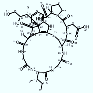 CC[C@H](C)[C@@H]1NC(=O)CNC(=O)[C@H]2Cc3c([nH]c4ccccc34)SC[C@H](NC(=O)CNC1=O)C(=O)NC(CC(=O)O)C(=O)N1CCC[C@H]1C(=O)N[C@@H]([C@@H](C)[C@@H](O)CO)C(=O)N2